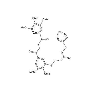 COc1cc(C(=O)CCC(=O)c2cc(OC)c(OC)c(SCCC(=O)OCc3ccccc3)c2)cc(OC)c1OC